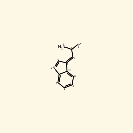 CC(C)C(N)C=C1C=Nc2ccccc21